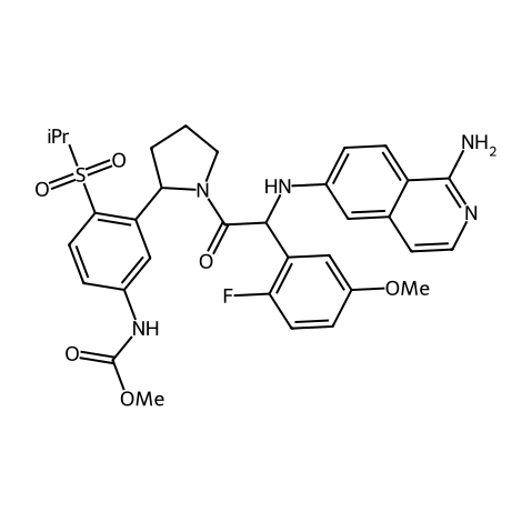 COC(=O)Nc1ccc(S(=O)(=O)C(C)C)c(C2CCCN2C(=O)C(Nc2ccc3c(N)nccc3c2)c2cc(OC)ccc2F)c1